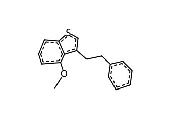 COc1cccc2scc(CCc3ccccc3)c12